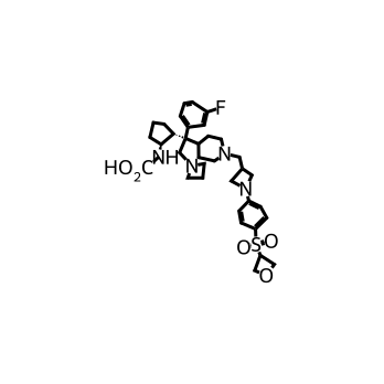 O=C(O)N[C@H]1CCC[C@@H]1C(CN1CCC1)(c1cccc(F)c1)C1CCN(CC2CN(c3ccc(S(=O)(=O)C4COC4)cc3)C2)CC1